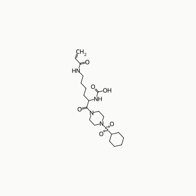 C=CC(=O)NCCCCC(NC(=O)O)C(=O)N1CCN(S(=O)(=O)C2CCCCC2)CC1